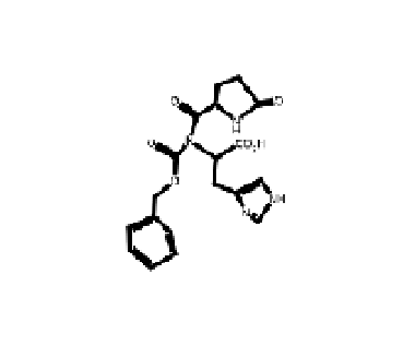 O=C1CCC(C(=O)N(C(=O)OCc2ccccc2)C(Cc2c[nH]cn2)C(=O)O)N1